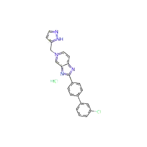 Cl.Clc1cccc(-c2ccc(-c3nc4ccn(Cc5ccn[nH]5)cc-4n3)cc2)c1